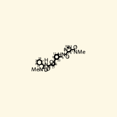 CNC(=O)c1cc(C(=O)NCc2cccc(-c3ccc(C(=O)N[C@H](C(=O)NC)C4CCCCC4)o3)c2)ncn1